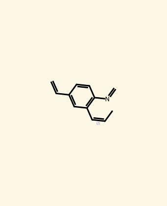 C=Cc1ccc(N=C)c(/C=C\C)c1